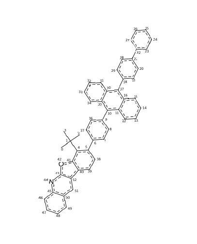 CC(C)(C)c1c(-c2ccc(-c3c4ccccc4c(-c4ccc(-c5ccccc5)cc4)c4ccccc34)cc2)ccc2c1oc1nc3ccccc3cc12